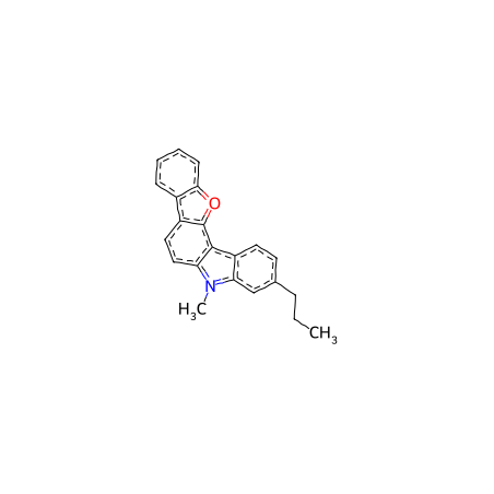 CCCc1ccc2c3c4oc5ccccc5c4ccc3n(C)c2c1